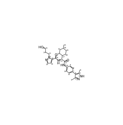 Cc1n[nH]c(C)c1-c1ccc(NC(=O)[C@@H](NC(=O)c2ccnn2CCCO)C2CCC(C)CC2)cc1